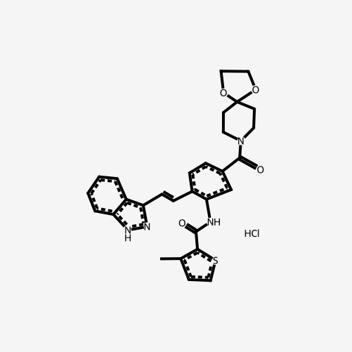 Cc1ccsc1C(=O)Nc1cc(C(=O)N2CCC3(CC2)OCCO3)ccc1C=Cc1n[nH]c2ccccc12.Cl